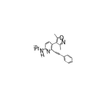 Cc1noc(C)c1-c1ccc(NC(C)C)nc1C#Cc1ccccc1